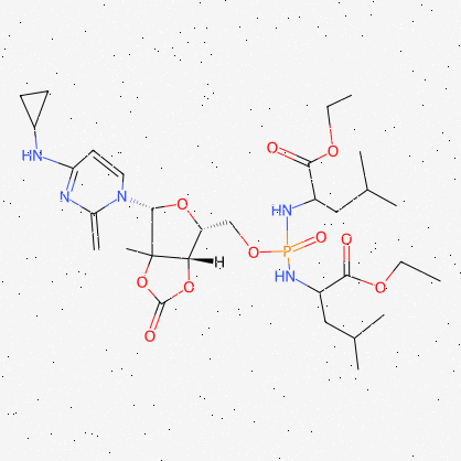 C=C1N=C(NC2CC2)C=CN1[C@@H]1O[C@H](COP(=O)(NC(CC(C)C)C(=O)OCC)NC(CC(C)C)C(=O)OCC)[C@@H]2OC(=O)OC21C